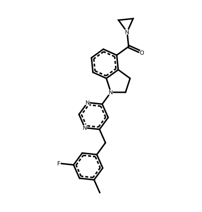 Cc1cc(F)cc(Cc2cc(N3CCc4c(C(=O)N5CC5)cccc43)ncn2)c1